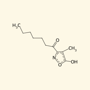 CCCCCCC(=O)c1noc(O)c1C